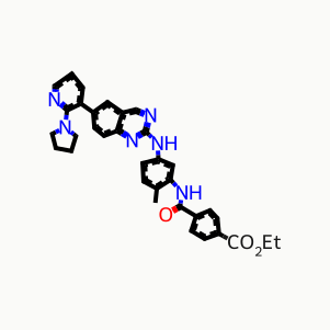 CCOC(=O)c1ccc(C(=O)Nc2cc(Nc3ncc4cc(-c5cccnc5N5CCCC5)ccc4n3)ccc2C)cc1